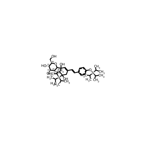 CC(C)[Si](Oc1ccc(C=CC2=CC(O)(C3O[C@H](CO)[C@@H](O)[C@H](O)[C@H]3O)CC(O)([Si](C(C)C)(C(C)C)C(C)C)C2)cc1)(C(C)C)C(C)C